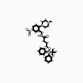 CN1CCN(c2ccc([N+](=O)[O-])cc2CNC(=O)CCCO[Si](c2ccccc2)(c2ccccc2)C(C)(C)C)CC1